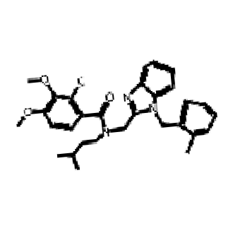 COc1ccc(C(=O)N(CCC(C)C)Cc2nc3ccccc3n2Cc2ccccc2C)c(Cl)c1OC